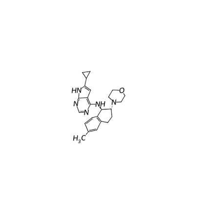 Cc1ccc2c(c1)CC[C@@H](N1CCOCC1)[C@@H]2Nc1ncnc2[nH]c(C3CC3)cc12